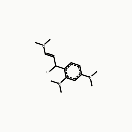 CN(C)C=CC(Cl)c1ccc(N(C)C)cc1N(C)C